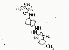 Cc1ccc(NC(=O)NNc2ccc3c(NC(=O)NN(C)C)cccc3c2)c(C)c1